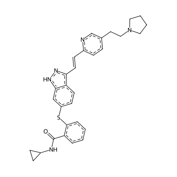 O=C(NC1CC1)c1ccccc1Sc1ccc2c(/C=C/c3ccc(CCN4CCCC4)cn3)n[nH]c2c1